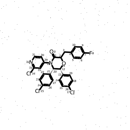 O=C1C(Cc2ccc(F)cc2)O[C@H](c2ccc(Cl)cc2)[C@H](c2ccc(Cl)cc2)N1c1ccnc(Cl)c1